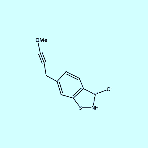 COC#CCc1ccc2c(c1)SN[S+]2[O-]